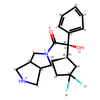 O=C(N1CC2CNCC2C1)[C@](O)(c1ccccc1)[C@@H]1CCC(F)(F)C1